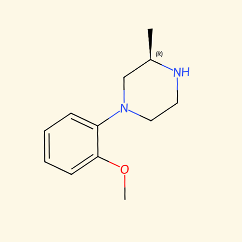 COc1ccccc1N1CCN[C@H](C)C1